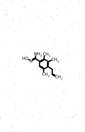 C=CCc1c(C)cc(/C(N)=N/O)c(C)c1C